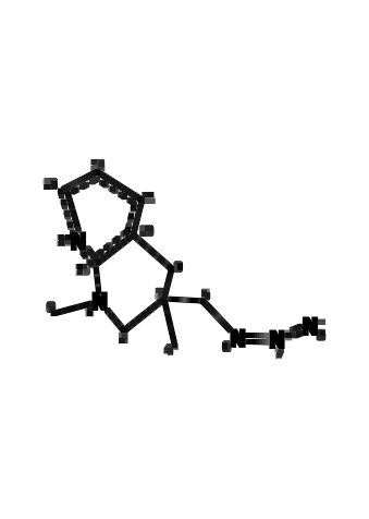 CN1CC(C)(CN=[N+]=[N-])Cc2cccnc21